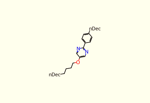 CCCCCCCCCCCCCCOc1cnc(-c2ccc(CCCCCCCCCC)cc2)nc1